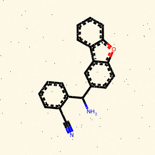 N#Cc1ccccc1C(N)c1ccc2oc3ccccc3c2c1